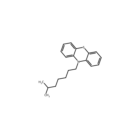 CC(C)CCCCCN1c2ccccc2Sc2ccccc21